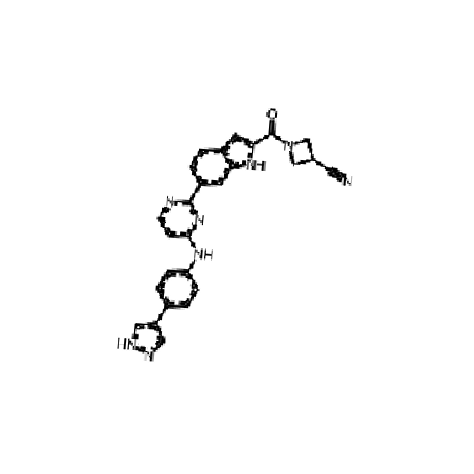 N#CC1CN(C(=O)c2cc3ccc(-c4nccc(Nc5ccc(-c6cn[nH]c6)cc5)n4)cc3[nH]2)C1